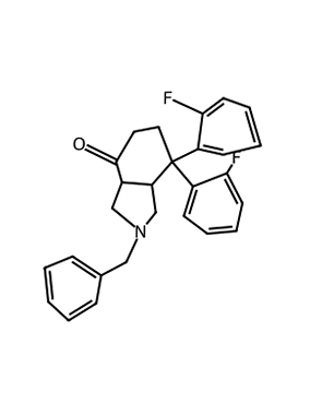 O=C1CCC(c2ccccc2F)(c2ccccc2F)C2CN(Cc3ccccc3)CC12